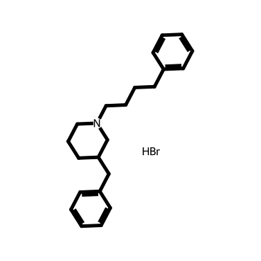 Br.c1ccc(CCCCN2CCCC(Cc3ccccc3)C2)cc1